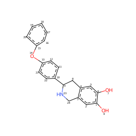 Oc1cc2c(cc1O)CC(c1ccc(Oc3ccccc3)cc1)NC2